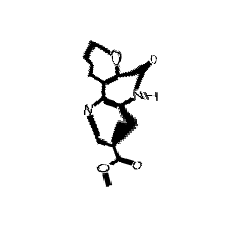 COC(=O)c1cnc2c3c(c(=O)[nH]c2c1)OCCC3